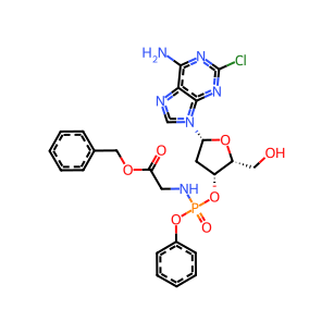 Nc1nc(Cl)nc2c1ncn2[C@H]1C[C@@H](OP(=O)(NCC(=O)OCc2ccccc2)Oc2ccccc2)[C@@H](CO)O1